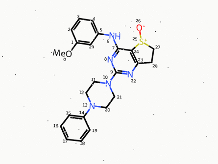 COc1cccc(Nc2nc(N3CCN(c4ccccc4)CC3)nc3c2[S+]([O-])CC3)c1